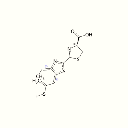 C=C(/C=c1/sc(C2=N[C@@H](C(=O)O)CS2)n/c1=C/C)SI